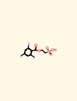 O=C(OCCS(=O)(=O)O)c1c(I)cc(I)cc1I